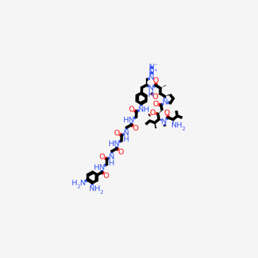 CC[C@H](C)[C@@H]([C@@H](CC(=O)N1CCC[C@H]1[C@H](OC)[C@@H](C)C(=O)N[C@H](CN=[N+]=[N-])Cc1ccc(NC(=O)CNC(=O)CNC(=O)CNC(=O)CNC(=O)CNC(=O)c2ccc(N)c(N)c2)cc1)OC)N(C)C(=O)[C@@H](N)C(C)C